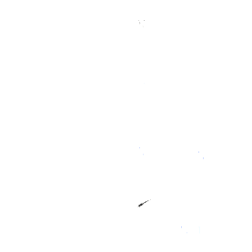 CC[C@H](N)c1nc2ccc(OC)nc2n1-c1cc(F)cc(F)c1